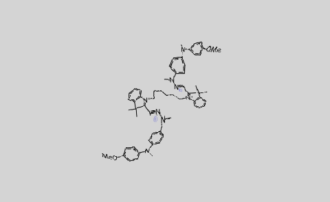 COc1ccc(N(C)c2ccc(N(C)/N=C/C3=[N+](CCCCCC[N+]4=C(/C=N/N(C)c5ccc(N(C)c6ccc(OC)cc6)cc5)C(C)(C)c5ccccc54)c4ccccc4C3(C)C)cc2)cc1